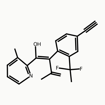 C#Cc1ccc(/C(C(=C)C)=C(\O)c2ncccc2C)c(C(C)(F)F)c1